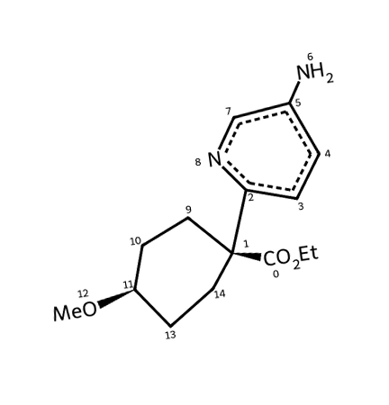 CCOC(=O)[C@]1(c2ccc(N)cn2)CC[C@H](OC)CC1